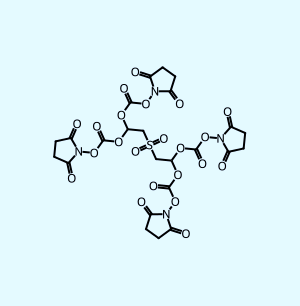 O=C(OC(CS(=O)(=O)CC(OC(=O)ON1C(=O)CCC1=O)OC(=O)ON1C(=O)CCC1=O)OC(=O)ON1C(=O)CCC1=O)ON1C(=O)CCC1=O